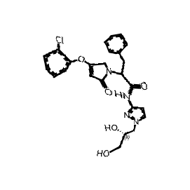 O=C(Nc1ccn(C[C@@H](O)CO)n1)C(Cc1ccccc1)N1CC(Oc2ccccc2Cl)=CC1=O